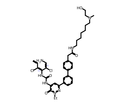 C=C/C(Cl)=C(NC(=O)Nc1cc(-c2cccc(-c3ccc(CC(=O)NCCCCCCCN(C)CCO)cc3)c2)nn(CC)c1=O)\C(Cl)=C/N